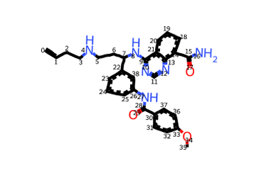 C=CCCNCCC(Nc1ncnc2c(C(N)=O)cccc12)c1cccc(NC(=O)c2ccc(OC)cc2)c1